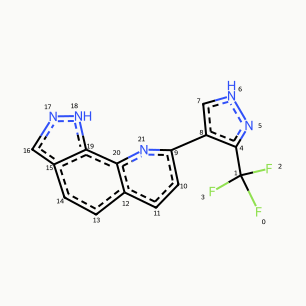 FC(F)(F)c1n[nH]cc1-c1ccc2ccc3cn[nH]c3c2n1